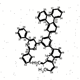 C=Cc1sc2c(-c3cc(-c4ccc5c6ccccc6c6ccccc6c5c4)cc(-c4cc(-c5ccccc5)nc(-c5ccccc5)n4)c3)cccc2c1/C=C\C